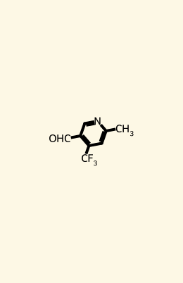 Cc1cc(C(F)(F)F)c(C=O)cn1